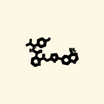 CC(C)[C@H](NC(=O)c1cccnc1NCc1ccc(-c2ccc3ncnc(N)c3c2)s1)c1ccc(F)cc1